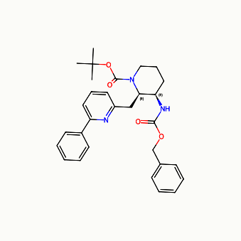 CC(C)(C)OC(=O)N1CCC[C@@H](NC(=O)OCc2ccccc2)[C@H]1Cc1cccc(-c2ccccc2)n1